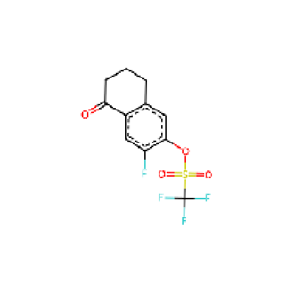 O=C1CCCc2cc(OS(=O)(=O)C(F)(F)F)c(F)cc21